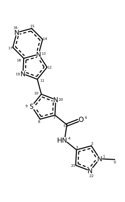 Cn1cc(NC(=O)c2csc(-c3cn4ccncc4n3)n2)cn1